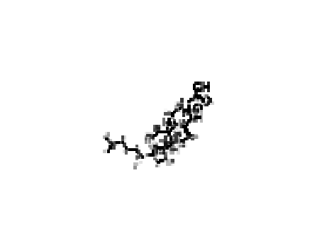 CC(C)CCC[C@@H](C)[C@H]1CC[C@H]2[C@@H]3CC=C4C[C@](O)(CC(=O)O)CC[C@]4(C)[C@H]3CC[C@]12C